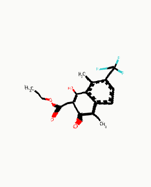 CCOC(=O)C1=C(O)c2c(ccc(C(F)(F)F)c2C)C(C)C1=O